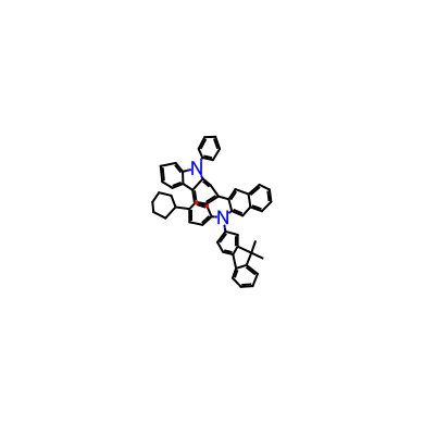 CC1(C)c2ccccc2-c2ccc(N(c3ccc(C4CCCCC4)cc3)c3cc4ccccc4cc3-c3ccc4c5ccccc5n(-c5ccccc5)c4c3)cc21